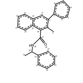 Cc1c(-c2ccccc2)nc2ccccc2c1C(=O)NC(C)c1ccccn1